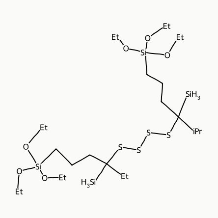 CCO[Si](CCCC([SiH3])(CC)SSSSC([SiH3])(CCC[Si](OCC)(OCC)OCC)C(C)C)(OCC)OCC